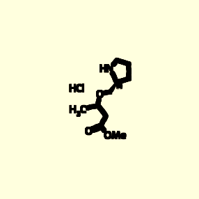 COC(=O)CC(C)OC[C@@H]1CCCN1.Cl